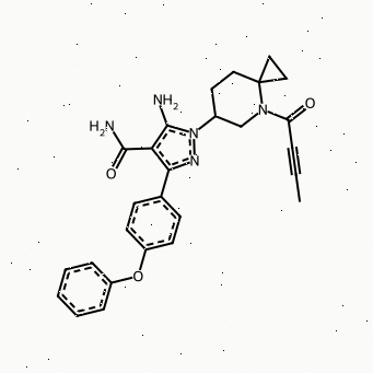 CC#CC(=O)N1CC(n2nc(-c3ccc(Oc4ccccc4)cc3)c(C(N)=O)c2N)CCC12CC2